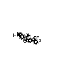 O=C(c1ccc(-c2ccccc2C(F)(F)F)cc1)N(C1CC1)C1CCc2[nH]ncc2C1